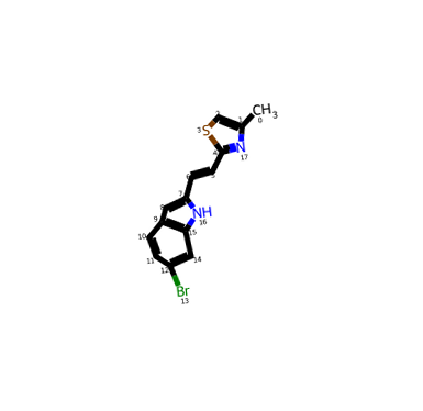 Cc1csc(C=Cc2cc3ccc(Br)cc3[nH]2)n1